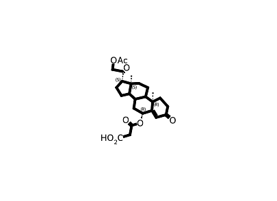 CC(=O)OCC(=O)[C@H]1CCC2C3C[C@@H](OC(=O)CC(=O)O)C4=CC(=O)CC[C@]4(C)C3CC[C@@]21C